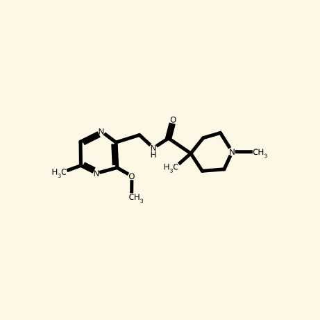 COc1nc(C)cnc1CNC(=O)C1(C)CCN(C)CC1